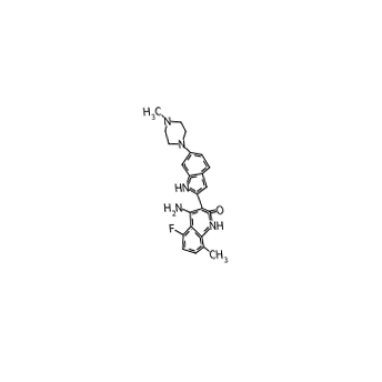 Cc1ccc(F)c2c(N)c(-c3cc4ccc(N5CCN(C)CC5)cc4[nH]3)c(=O)[nH]c12